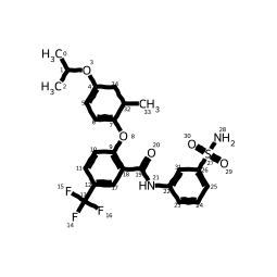 CC(C)OC1=CC=C(Oc2ccc(C(F)(F)F)cc2C(=O)Nc2cccc(S(N)(=O)=O)c2)C(C)C1